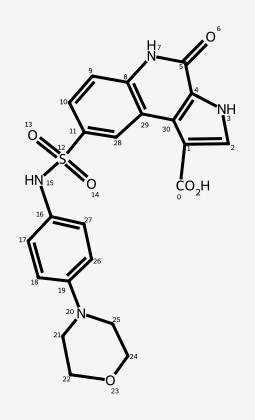 O=C(O)c1c[nH]c2c(=O)[nH]c3ccc(S(=O)(=O)Nc4ccc(N5CCOCC5)cc4)cc3c12